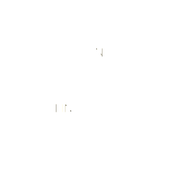 c1ccc(-c2cc3[nH]c4ccc5c(c6ccccc6n5-c5ccccc5)c4c3c3ccccc23)cc1